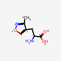 Cc1nocc1CC(N)C(=O)O